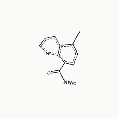 CNC(=O)c1ccc(C)c2cccnc12